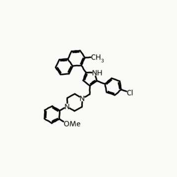 COc1ccccc1N1CCN(Cc2cc(-c3c(C)ccc4ccccc34)[nH]c2-c2ccc(Cl)cc2)CC1